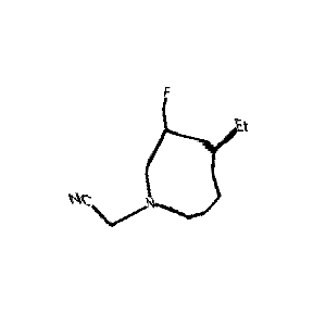 CCC1CCN(CC#N)CC1F